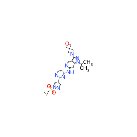 CC(C)n1nc(N2CC3(COC3)C2)c2cnc(Nc3ccnc(-c4cnn(S(=O)(=O)C5CC5)c4)n3)cc21